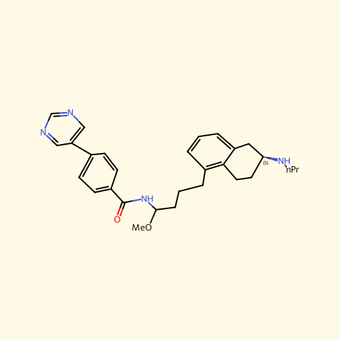 CCCN[C@H]1CCc2c(CCCC(NC(=O)c3ccc(-c4cncnc4)cc3)OC)cccc2C1